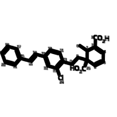 CC1C(C(=O)O)=CC=CC1(CCc1ccc(/C=C/c2ccccc2)cc1Cl)C(=O)O